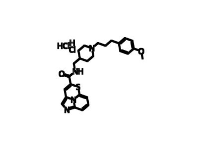 COc1ccc(CCCN2CCC(CNC(=O)C3=Cc4cnc5cccc(n45)S3)CC2)cc1.Cl.Cl